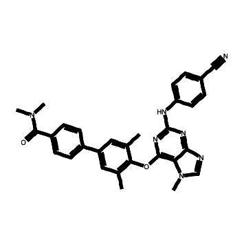 Cc1cc(-c2ccc(C(=O)N(C)C)cc2)cc(C)c1Oc1nc(Nc2ccc(C#N)cc2)nc2ncn(C)c12